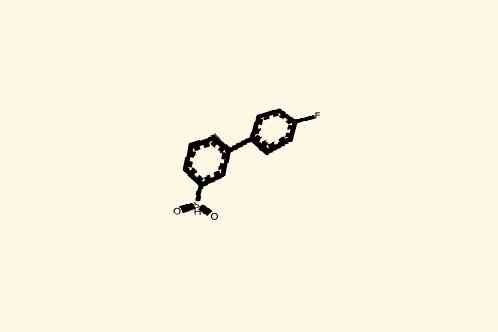 O=[SH](=O)c1cccc(-c2ccc(F)cc2)c1